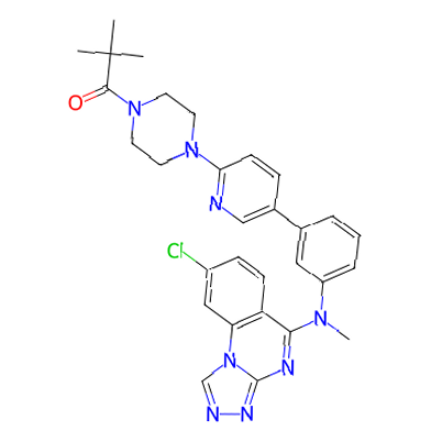 CN(c1cccc(-c2ccc(N3CCN(C(=O)C(C)(C)C)CC3)nc2)c1)c1nc2nncn2c2cc(Cl)ccc12